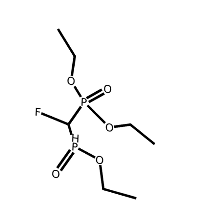 CCO[PH](=O)C(F)P(=O)(OCC)OCC